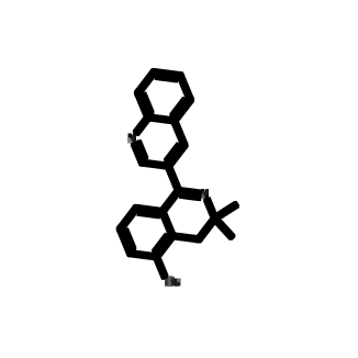 CCC(C)c1cccc2c1CC(C)(C)N=C2c1cnc2ccccc2c1